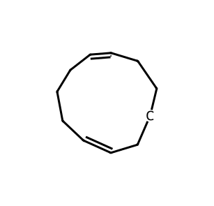 [C]1=C\CCC/C=C\CCCC/1